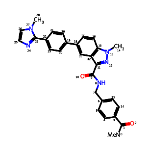 CNC(=O)c1ccc(CNC(=O)c2nn(C)c3ccc(-c4ccc(-c5nccn5C)cc4)cc23)cc1